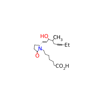 CCC#CC[C@H](C)[C@H](O)/C=C/[C@H]1CCC(=O)N1CCCCCCC(=O)O